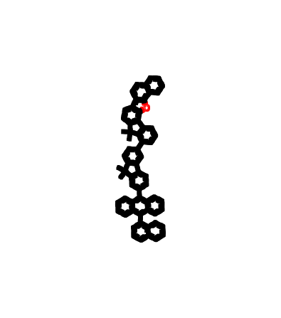 CC1(C)c2ccc(-c3cccc4c3C(C)(C)c3ccc5c(oc6c7ccccc7ccc56)c3-4)cc2-c2ccc(-c3c4ccccc4c(-c4cccc5ccccc45)c4ccccc34)cc21